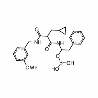 COc1cccc(CNC(=O)C(CC2CC2)C(=O)NC(Cc2ccccc2)OB(O)O)c1